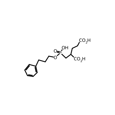 O=C(O)CCC(CP(=O)(O)OCCCc1ccccc1)C(=O)O